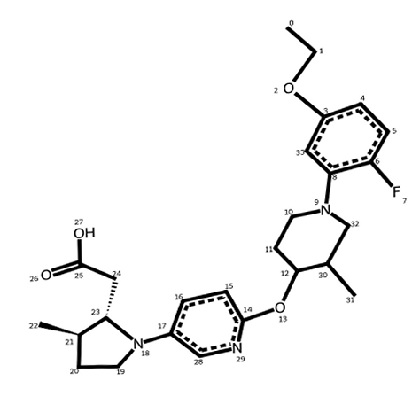 CCOc1ccc(F)c(N2CCC(Oc3ccc(N4CC[C@@H](C)[C@@H]4CC(=O)O)cn3)C(C)C2)c1